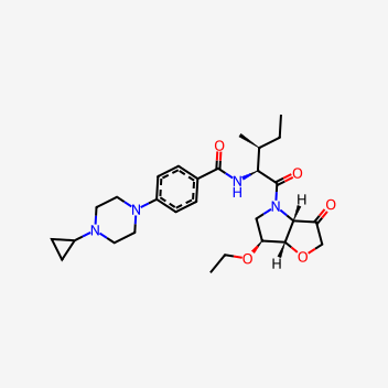 CCO[C@H]1CN(C(=O)[C@@H](NC(=O)c2ccc(N3CCN(C4CC4)CC3)cc2)[C@@H](C)CC)[C@@H]2C(=O)CO[C@H]12